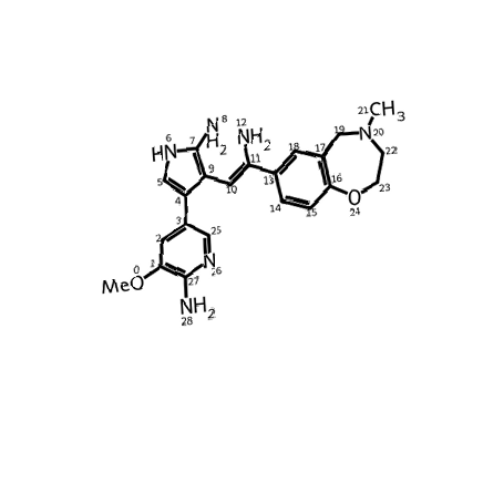 COc1cc(-c2c[nH]c(N)c2/C=C(\N)c2ccc3c(c2)CN(C)CCO3)cnc1N